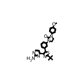 COc1ccc(N2CCN(c3cccc(-c4sc(C(C)(C)C)nc4-c4ccnc(N)n4)c3)C2=O)cc1